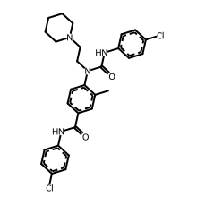 Cc1cc(C(=O)Nc2ccc(Cl)cc2)ccc1N(CCN1CCCCC1)C(=O)Nc1ccc(Cl)cc1